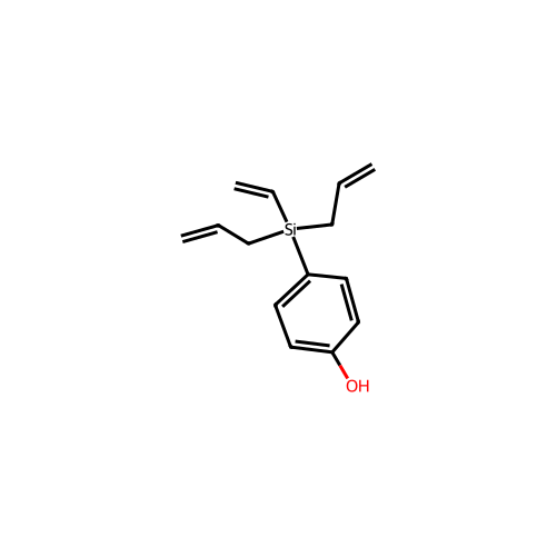 C=CC[Si](C=C)(CC=C)c1ccc(O)cc1